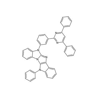 c1ccc(-c2cc(-c3ccccc3)nc(-c3cccc(-n4c5ccccc5n5c4nc4c6ccccc6n(-c6ccccc6)c45)c3)n2)cc1